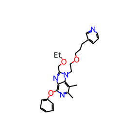 CCOCc1nc2c(Oc3ccccc3)nc(C)c(C)c2n1CCOCCCc1cccnc1